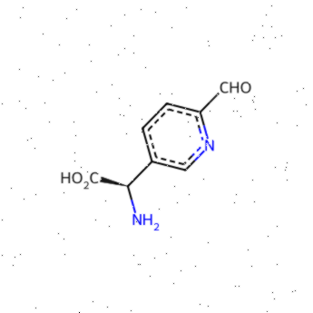 N[C@@H](C(=O)O)c1ccc(C=O)nc1